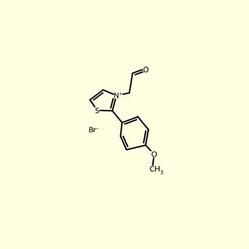 COc1ccc(-c2scc[n+]2CC=O)cc1.[Br-]